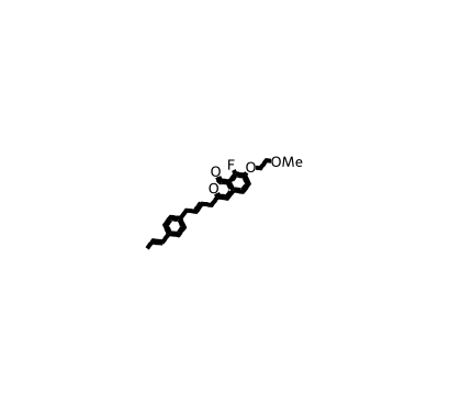 C/C=C/c1ccc(C/C=C/Cc2cc3ccc(OCCOC)c(F)c3c(=O)o2)cc1